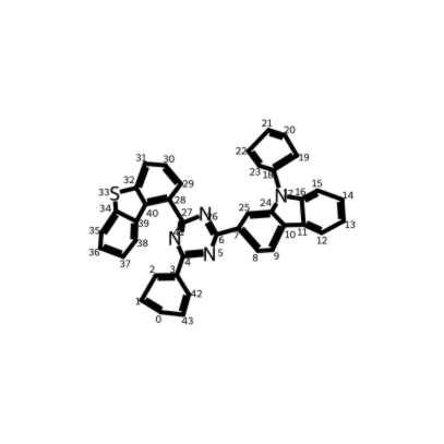 c1ccc(-c2nc(-c3ccc4c5ccccc5n(-c5ccccc5)c4c3)nc(-c3cccc4sc5ccccc5c34)n2)cc1